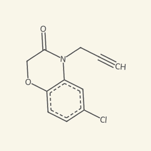 C#CCN1C(=O)COc2ccc(Cl)cc21